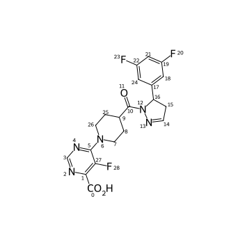 O=C(O)c1ncnc(N2CCC(C(=O)N3N=CCC3c3cc(F)cc(F)c3)CC2)c1F